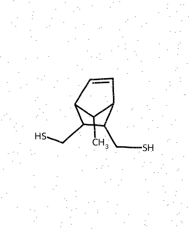 CC1C2C=CC1C(CS)C2CS